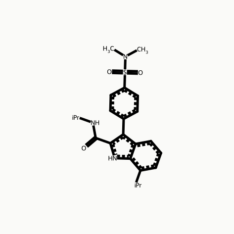 CC(C)NC(=O)c1[nH]c2c(C(C)C)cccc2c1-c1ccc(S(=O)(=O)N(C)C)cc1